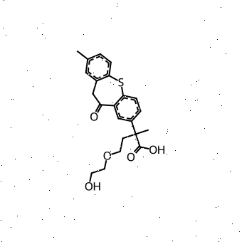 Cc1ccc2c(c1)CC(=O)c1cc(C(C)(CCOCCO)C(=O)O)ccc1S2